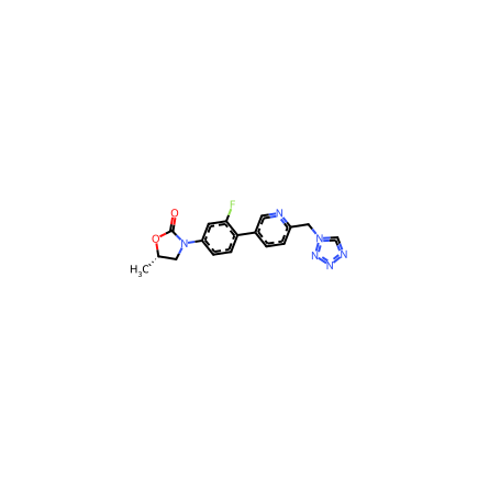 C[C@H]1CN(c2ccc(-c3ccc(Cn4cnnn4)nc3)c(F)c2)C(=O)O1